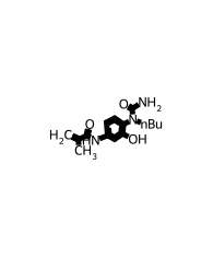 C=C(C)C(=O)Nc1ccc(N(CCCC)C(N)=O)c(O)c1